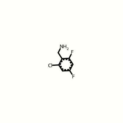 NCc1c(F)cc(F)cc1Cl